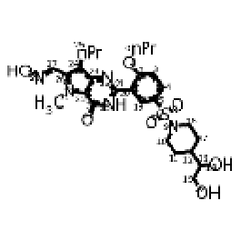 CCCOc1ccc(S(=O)(=O)N2CCC(C(O)CO)CC2)cc1-c1nc2c(CCC)c(C=NO)n(C)c2c(=O)[nH]1